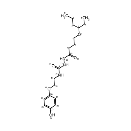 CCCC(CC)OCCCC(=O)NNC(=O)NCCOc1ccc(O)cc1